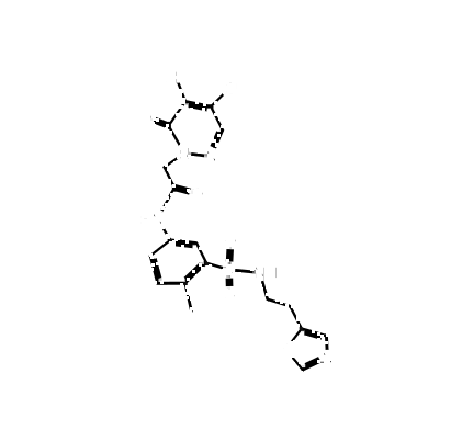 Cc1ccc(NC(=O)Cn2ncc(Cl)c(Cl)c2=O)cc1S(=O)(=O)NCCc1cncs1